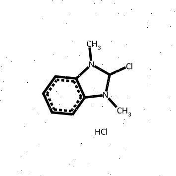 CN1c2ccccc2N(C)C1Cl.Cl